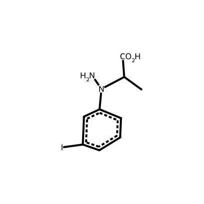 CC(C(=O)O)N(N)c1cccc(I)c1